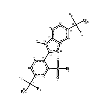 CCS(=O)(=O)c1cc(C(F)(F)C(F)(F)F)cnc1-c1nc2cc(C(F)(F)C(F)(F)F)cnc2n1C